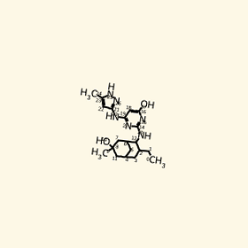 CCC1CC2CC(CC(C)(O)C2)C1Nc1nc(O)cc(Nc2cc(C)[nH]n2)n1